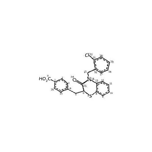 O=C(O)c1ccc(CC2Sc3ccccc3N(Cc3ccccc3Cl)C2=O)cc1